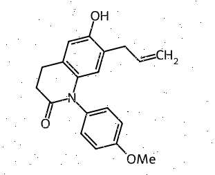 C=CCc1cc2c(cc1O)CCC(=O)N2c1ccc(OC)cc1